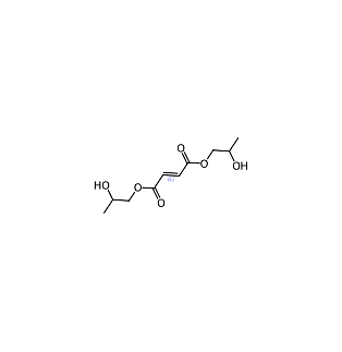 CC(O)COC(=O)/C=C/C(=O)OCC(C)O